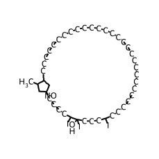 CC1CC2(N=O)CCCCC(I)C(O)(I)CCCC(I)CCCCCCCCCCCCCCCCCCCCCCCCCCCCC1C2